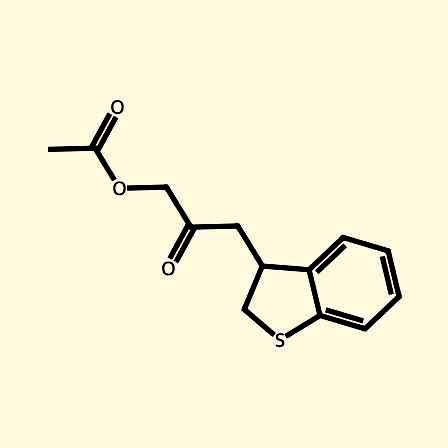 CC(=O)OCC(=O)CC1CSc2ccccc21